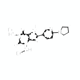 CCNn1c(=O)c2[nH]c(-c3ccc(N4CCCC4)nc3)nc2n(NCC)c1=O